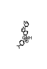 CC(C)c1ccc(S(=O)(=O)Nc2ccc3c(ccn3-c3cccnc3)c2)cc1